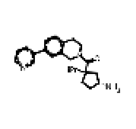 CC(C)[C@]1(C(=O)N2CCc3ccc(-c4cccnc4)cc3C2)CC[C@@H](N)C1